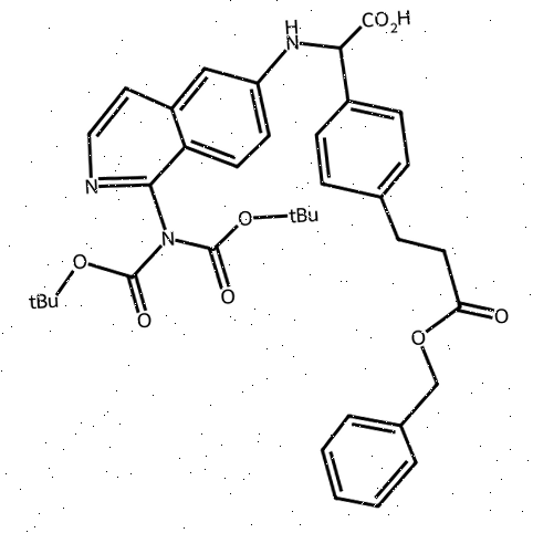 CC(C)(C)OC(=O)N(C(=O)OC(C)(C)C)c1nccc2cc(NC(C(=O)O)c3ccc(CCC(=O)OCc4ccccc4)cc3)ccc12